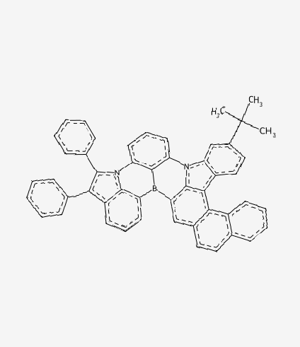 CC(C)(C)c1ccc2c3c4c(ccc5ccccc54)cc4c3n(c2c1)-c1cccc2c1B4c1cccc3c(-c4ccccc4)c(-c4ccccc4)n-2c13